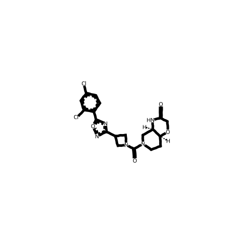 O=C1CO[C@H]2CCN(C(=O)N3CC(c4noc(-c5ccc(Cl)cc5Cl)n4)C3)C[C@H]2N1